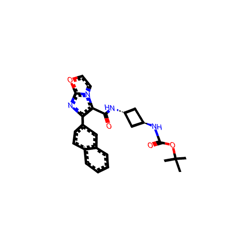 CC(C)(C)OC(=O)N[C@H]1C[C@H](NC(=O)c2c(-c3ccc4ccccc4c3)nc3occn23)C1